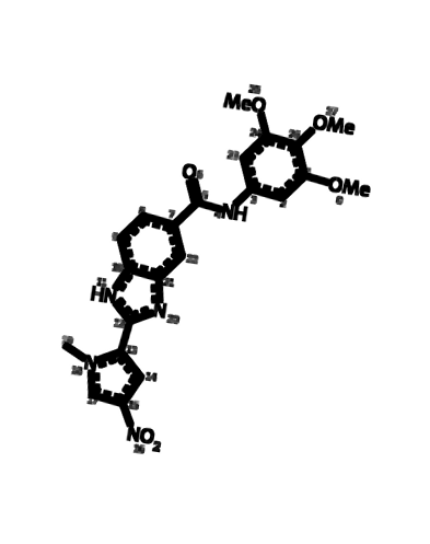 COc1cc(NC(=O)c2ccc3[nH]c(-c4cc([N+](=O)[O-])cn4C)nc3c2)cc(OC)c1OC